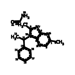 Cc1cnc2c(n1)nc(C)n2C(C)c1ccccc1.NC=O